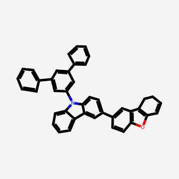 C1=Cc2oc3ccc(-c4ccc5c(c4)c4ccccc4n5-c4cc(-c5ccccc5)cc(-c5ccccc5)c4)cc3c2CC1